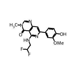 COc1cc(-c2cc3ncn(C)c(=O)c3c(NCC(F)F)n2)ccc1O